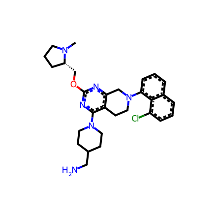 CN1CCC[C@H]1COc1nc2c(c(N3CCC(CN)CC3)n1)CCN(c1cccc3cccc(Cl)c13)C2